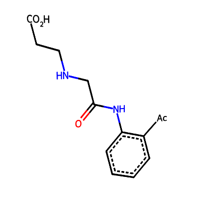 CC(=O)c1ccccc1NC(=O)CNCCC(=O)O